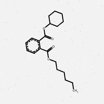 CCCCCCOC(=O)c1ccccc1C(=O)OC1CCCCC1